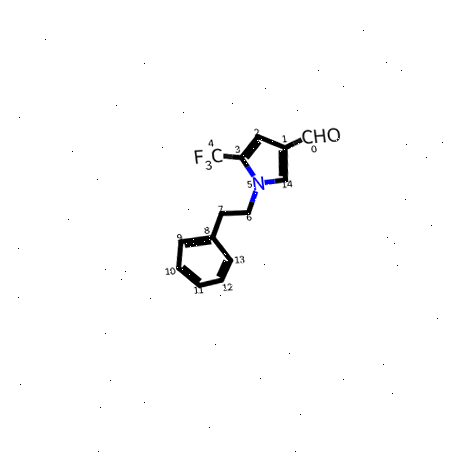 O=Cc1cc(C(F)(F)F)n(CCc2ccccc2)c1